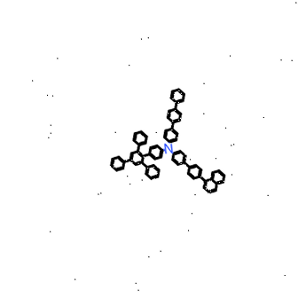 c1ccc(-c2ccc(-c3ccc(N(c4ccc(-c5ccc(-c6cccc7ccccc67)cc5)cc4)c4ccc(-c5c(-c6ccccc6)cc(-c6ccccc6)cc5-c5ccccc5)cc4)cc3)cc2)cc1